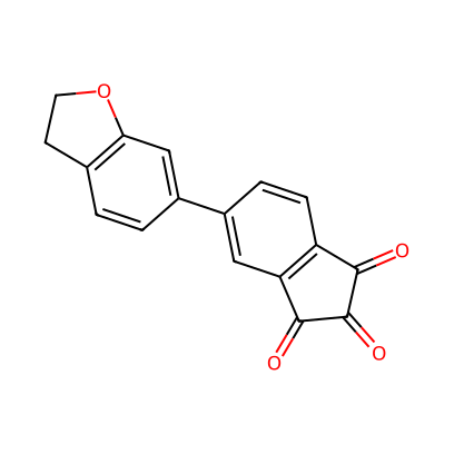 O=c1c(=O)c2ccc(-c3ccc4c(c3)OCC4)cc2c1=O